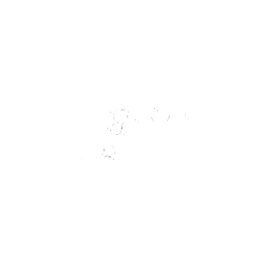 C=C(C)CN1CCC(Nc2ncnc3c2nc(-c2cnn(CC)c2C)n3C)C1=O